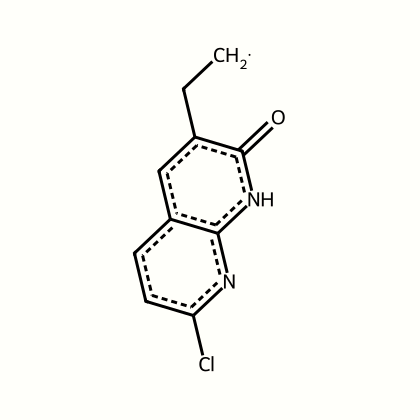 [CH2]Cc1cc2ccc(Cl)nc2[nH]c1=O